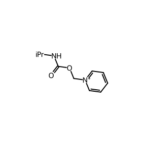 CC(C)NC(=O)OC[n+]1ccccc1